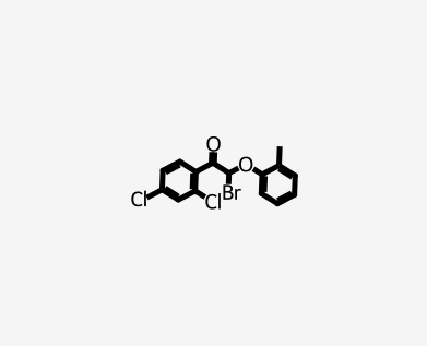 Cc1ccccc1OC(Br)C(=O)c1ccc(Cl)cc1Cl